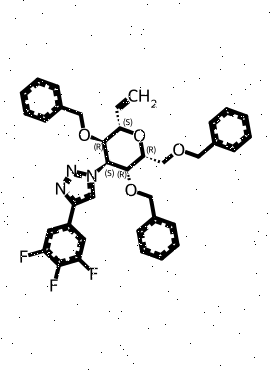 C=C[C@@H]1O[C@H](COCc2ccccc2)[C@H](OCc2ccccc2)[C@@H](n2cc(-c3cc(F)c(F)c(F)c3)nn2)[C@H]1OCc1ccccc1